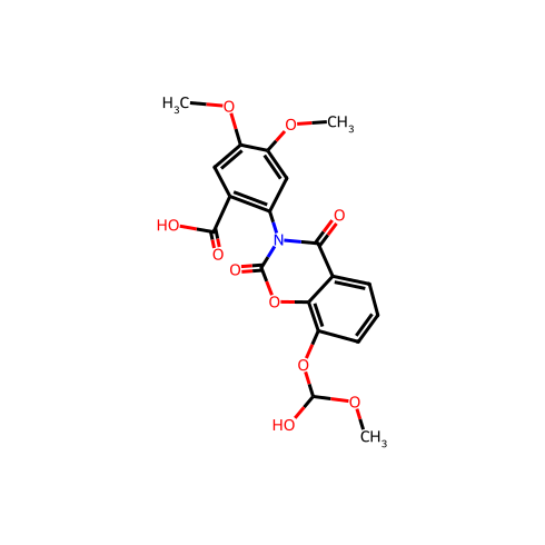 COc1cc(C(=O)O)c(-n2c(=O)oc3c(OC(O)OC)cccc3c2=O)cc1OC